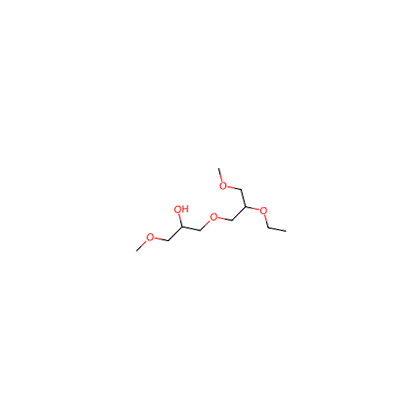 CCOC(COC)COCC(O)COC